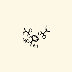 CC(I)C(=O)Oc1ccc(C(O)O)c(OC(=O)C(C)I)c1